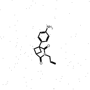 C=CCN1C(=O)C2CC(c3ccc(N)cc3)(C2)C1=O